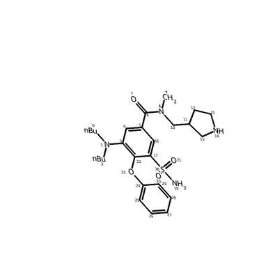 CCCCN(CCCC)c1cc(C(=O)N(C)CC2CCNC2)cc(S(N)(=O)=O)c1Oc1ccccc1